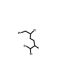 [CH2]C(C)CC(CC)CCC(C)C(CC)CC